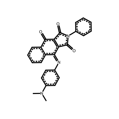 CN(C)c1ccc(/N=c2/c3c(=O)n(-c4ccccc4)c(=O)c=3c(=O)c3ccccc23)cc1